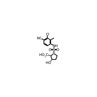 Cc1c(NS(=O)(=O)N2CC[C@@H](O)[C@H]2C(=O)O)ccc(C#N)c1Cl